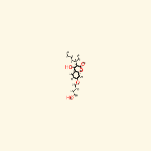 CCCCC(CC)c1c(O)c2ccc(OCCCCO)cc2oc1=O